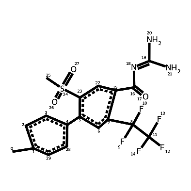 Cc1ccc(-c2cc(C(F)(F)C(F)(F)F)c(C(=O)N=C(N)N)cc2S(C)(=O)=O)cc1